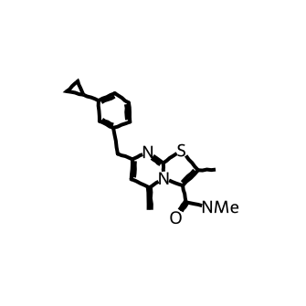 C=C1C=C(Cc2cccc(C3CC3)c2)N=C2SC(C)=C(C(=O)NC)N12